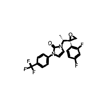 C[C@@H](n1ccn(-c2ccc(C(F)(F)F)cc2)c1=O)[C@]1(c2ccc(F)cc2F)CO1